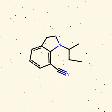 CCC(C)N1CCc2cccc(C#N)c21